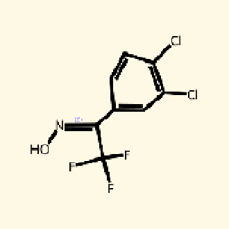 O/N=C(/c1ccc(Cl)c(Cl)c1)C(F)(F)F